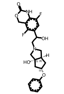 O=C1Nc2c(F)cc(C(O)CN3C[C@H]4C[C@H](Oc5ccccc5)C[C@@]4(O)C3)c(F)c2CO1